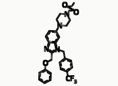 CS(=O)(=O)N1CCN(c2ccc3nc(COc4ccccc4)n(Cc4ccc(C(F)(F)F)cc4)c3c2)CC1